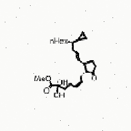 CCCCCC[C@H](C/C=C/[C@H]1CCC(=O)[C@@H]1C/C=C\CCC(O)(O)C(=O)OC)C1CC1